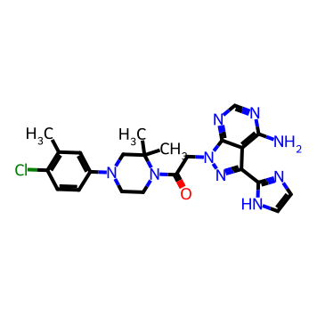 Cc1cc(N2CCN(C(=O)Cn3nc(-c4ncc[nH]4)c4c(N)ncnc43)C(C)(C)C2)ccc1Cl